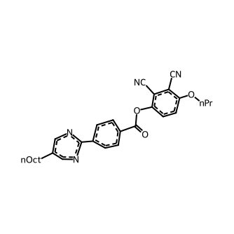 CCCCCCCCc1cnc(-c2ccc(C(=O)Oc3ccc(OCCC)c(C#N)c3C#N)cc2)nc1